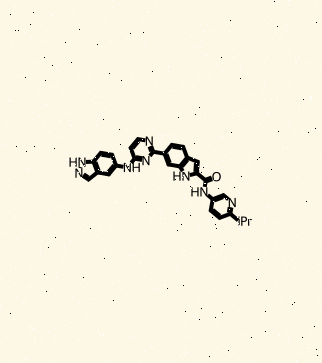 CC(C)c1ccc(NC(=O)c2cc3ccc(-c4nccc(Nc5ccc6[nH]ncc6c5)n4)cc3[nH]2)cn1